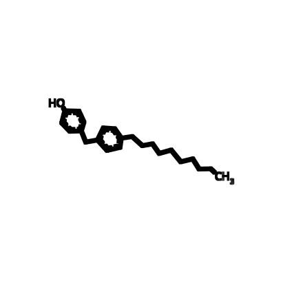 CCCCCCCCCCc1ccc(Cc2ccc(O)cc2)cc1